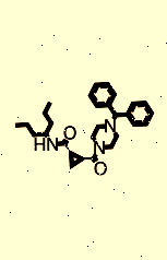 CCCC(CCC)NC(=O)[C@H]1C[C@@H]1C(=O)N1CCN(C(c2ccccc2)c2ccccc2)CC1